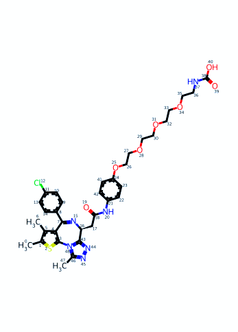 Cc1sc2c(c1C)C(c1ccc(Cl)cc1)=N[C@@H](CC(=O)Nc1ccc(OCCOCCOCCOCCNC(=O)O)cc1)c1nnc(C)n1-2